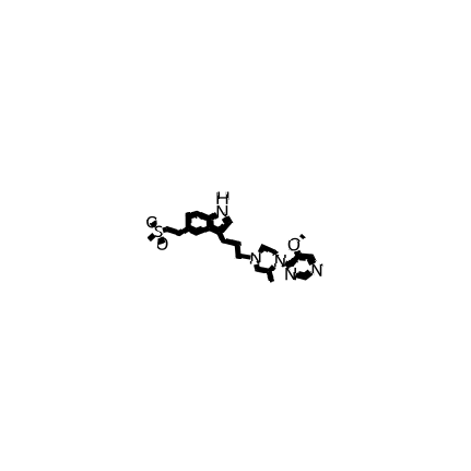 COc1cncnc1N1CCN(CCCc2c[nH]c3ccc(CCS(C)(=O)=O)cc23)CC1C